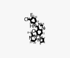 C[C@H](Oc1cc(-n2cccn2)cc2ncnc(Nc3ccc(F)c(Cl)c3)c12)c1ncccn1